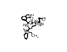 CCn1c([C@H](CCCNC(=N)CCl)NC(=O)c2cccc3c2C(=O)NC3)nc2ccccc21